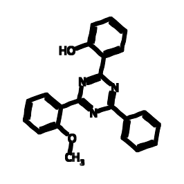 COc1ccccc1-c1nc(-c2ccccc2)nc(-c2ccccc2O)n1